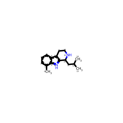 Cc1cccc2c3c([nH]c12)C(CC(C)C)NCC3